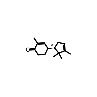 CC1=CC([C@H]2CC=C(C)C2(C)C)CCC1=O